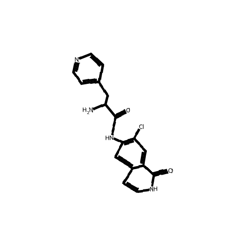 NC(Cc1ccncc1)C(=O)Nc1cc2cc[nH]c(=O)c2cc1Cl